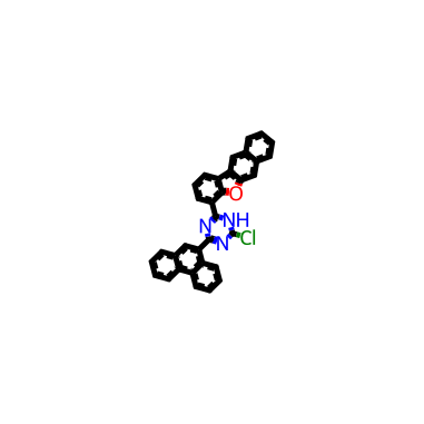 ClC1N=C(c2cc3ccccc3c3ccccc23)N=C(c2cccc3c2oc2cc4ccccc4cc23)N1